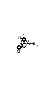 NCCC(=O)N1CCc2c([nH]c3ccc(Cl)cc23)C1c1ccc(Cl)c(Cl)c1